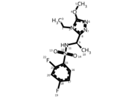 CCn1c(OC)nnc1[C@@H](C)NS(=O)(=O)c1ccc(F)cc1F